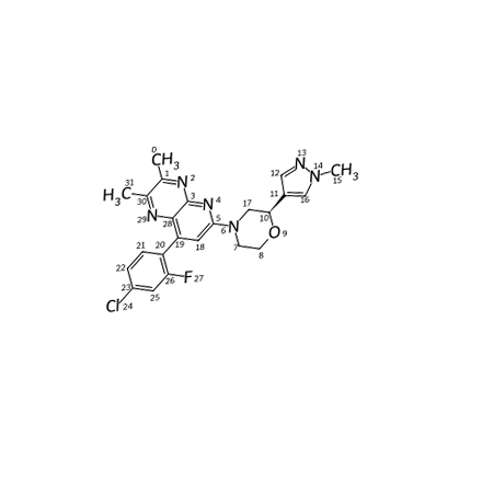 Cc1nc2nc(N3CCO[C@H](c4cnn(C)c4)C3)cc(-c3ccc(Cl)cc3F)c2nc1C